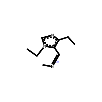 CCc1ncn(CC)c1/C=N\C